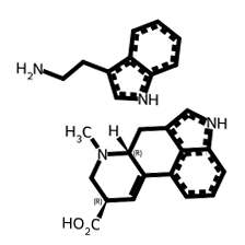 CN1C[C@H](C(=O)O)C=C2c3cccc4[nH]cc(c34)C[C@H]21.NCCc1c[nH]c2ccccc12